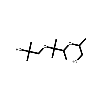 CC(CO)OC(C)C(C)(C)OCC(C)(C)O